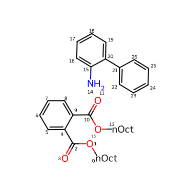 CCCCCCCCOC(=O)c1ccccc1C(=O)OCCCCCCCC.Nc1ccccc1-c1ccccc1